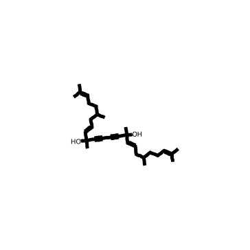 CC(C)=CCCC(C)CC=CC(C)(O)C#CC#CC(C)(O)C=CCC(C)CCC=C(C)C